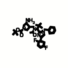 CC(=O)N(CC1CN(C(=O)OC(C)(C)C)CC1N)C(c1nc(-c2cc(F)ccc2F)cn1Cc1ccccc1)C(C)(C)C